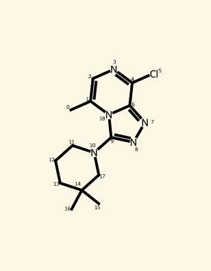 Cc1cnc(Cl)c2nnc(N3CCCC(C)(C)C3)n12